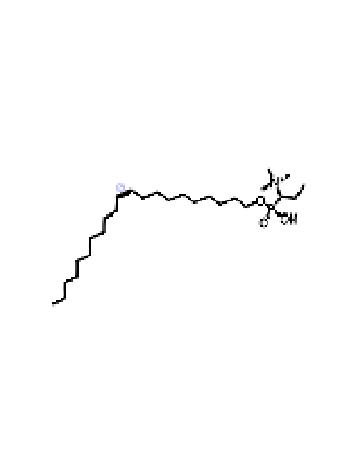 CCCCCCCCCC/C=C\CCCCCCCCCOP(=O)(O)C(CC)[N+](C)(C)C